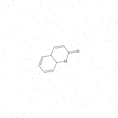 O=C1[C]=CC2C=CC=CC2O1